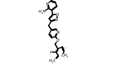 C=C/C(F)=C(\C=C/C)COc1ccc(Cc2cc(-c3cccnc3N)on2)cn1